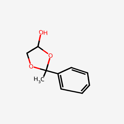 CC1(c2ccccc2)OCC(O)O1